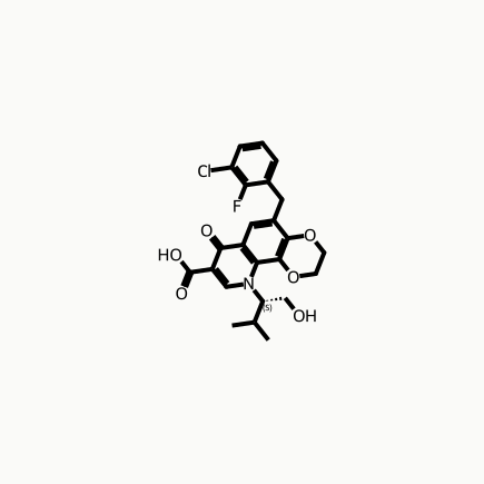 CC(C)[C@@H](CO)n1cc(C(=O)O)c(=O)c2cc(Cc3cccc(Cl)c3F)c3c(c21)OCCO3